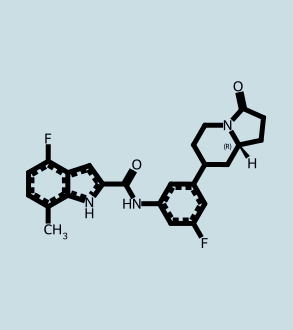 Cc1ccc(F)c2cc(C(=O)Nc3cc(F)cc(C4CCN5C(=O)CC[C@@H]5C4)c3)[nH]c12